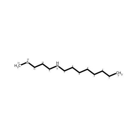 CCCCCCCCNCCCSC